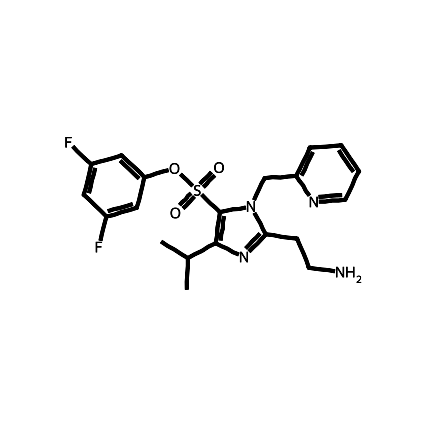 CC(C)c1nc(CCN)n(Cc2ccccn2)c1S(=O)(=O)Oc1cc(F)cc(F)c1